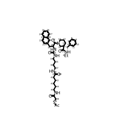 CCNC(=O)[C@]1(Cc2ccccc2)CCCN(C(=O)C(Cc2ccc3ccccc3c2)NC(=O)NCCCCNC(=O)CCCCCNC(=O)CSC(C)=O)C1